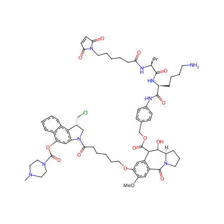 COc1cc2c(cc1OCCCCCC(=O)N1C[C@@H](CCl)c3c1cc(OC(=O)N1CCN(C)CC1)c1ccccc31)C(C(=O)OCc1ccc(NC(=O)[C@H](CCCCN)NC(=O)[C@@H](NC(=O)CCCCCN3C(=O)C=CC3=O)C(C)C)cc1)C(O)[C@H]1CCCN1C2=O